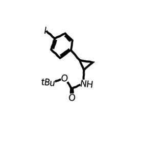 CC(C)(C)OC(=O)NC1CC1c1ccc(I)cc1